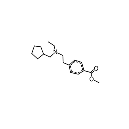 CCN(CCc1ccc(C(=O)OC)cc1)CC1CCCC1